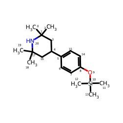 CC1(C)CC(c2ccc(O[Si](C)(C)C)cc2)CC(C)(C)N1